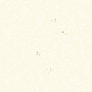 O=C(O)CN1C(=S)CSc2cc(Cl)c(Cl)cc21